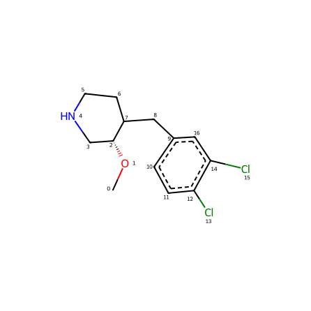 CO[C@@H]1CNCCC1Cc1ccc(Cl)c(Cl)c1